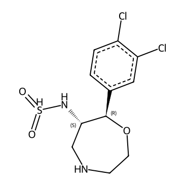 O=[SH](=O)N[C@H]1CNCCO[C@@H]1c1ccc(Cl)c(Cl)c1